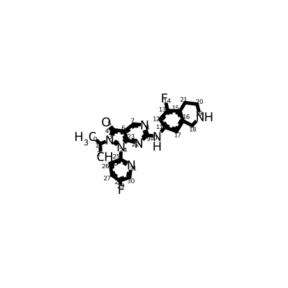 CC(C)n1c(=O)c2cnc(Nc3cc(F)c4c(c3)CNCC4)nc2n1-c1ccc(F)cn1